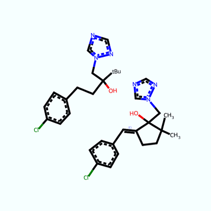 CC(C)(C)C(O)(CCc1ccc(Cl)cc1)Cn1cncn1.CC1(C)CC/C(=C\c2ccc(Cl)cc2)C1(O)Cn1cncn1